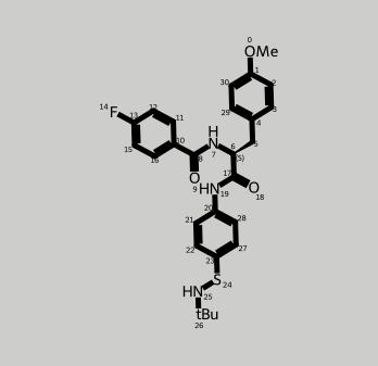 COc1ccc(C[C@H](NC(=O)c2ccc(F)cc2)C(=O)Nc2ccc(SNC(C)(C)C)cc2)cc1